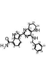 NC(=O)c1cccc2c(-c3nc4c(c(NCc5ccccc5)n3)NCCC4)snc12